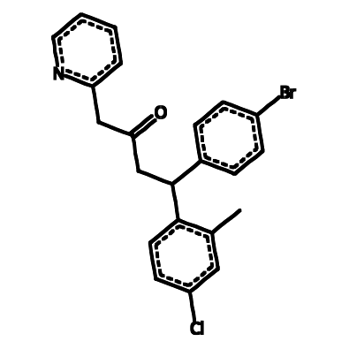 Cc1cc(Cl)ccc1C(CC(=O)Cc1ccccn1)c1ccc(Br)cc1